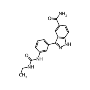 CCNC(=O)Nc1cccc(-c2n[nH]c3ccc(C(N)=O)cc23)c1